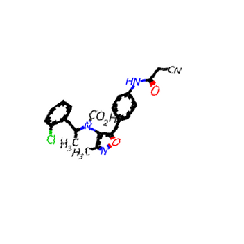 Cc1noc(-c2ccc(NC(=O)CC#N)cc2)c1N(C(=O)O)C(C)c1ccccc1Cl